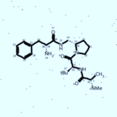 CN[C@@H](C)C(=O)N[C@H](C(=O)N1CCC[C@H]1CNC(=O)[C@H](N)Cc1ccccc1)C(C)(C)C